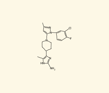 Cc1cc(N2CCC(c3nc(N)[nH]c3C)CC2)n(-c2ccc(F)c(Cl)c2)n1